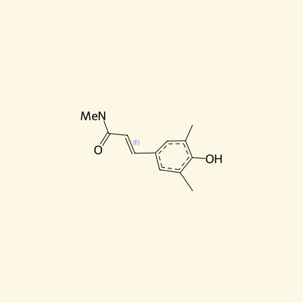 CNC(=O)/C=C/c1cc(C)c(O)c(C)c1